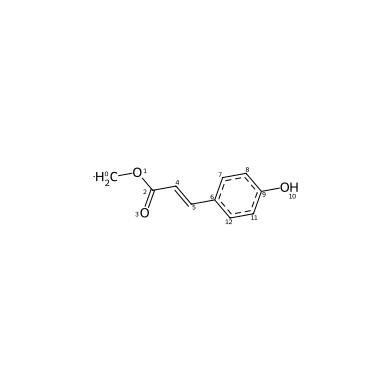 [CH2]OC(=O)C=Cc1ccc(O)cc1